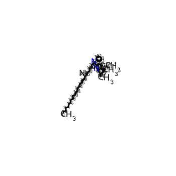 CCCCCCCCCCCCCCCCCCCCCCCCCCC(=N/c1ccccc1)/C(CCCCC)=N/c1cc(C)cc(C)c1.[Ni]